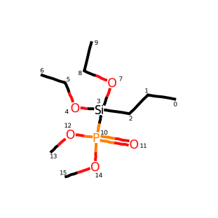 CCC[Si](OCC)(OCC)P(=O)(OC)OC